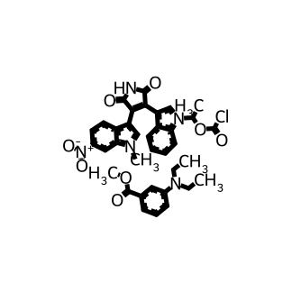 CC(OC(=O)Cl)n1cc(C2=C(c3cn(C)c4cc([N+](=O)[O-])ccc34)C(=O)NC2=O)c2ccccc21.CCN(CC)c1cccc(C(=O)OC)c1